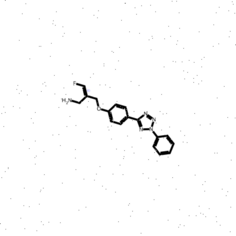 NC/C(=C\F)COc1ccc(-c2nnn(-c3ccccc3)n2)cc1